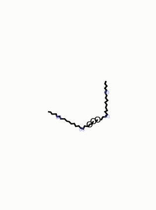 CCCC/C=C/CCCCCCCC/C=C\CCOCOCOCC/C=C\CCCCCCCC/C=C/CCCC